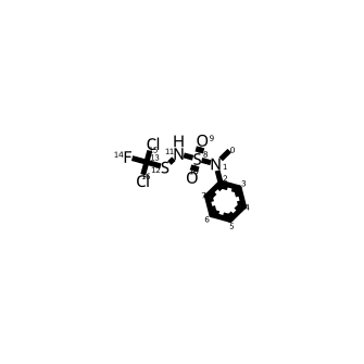 CN(c1ccccc1)S(=O)(=O)NSC(F)(Cl)Cl